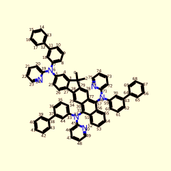 CC1(C)c2cc(N(c3cccc(-c4ccccc4)c3)c3ccccn3)ccc2-c2cc3c(N(c4cccc(-c5ccccc5)c4)c4ccccn4)c4ccccc4c(N(c4cccc(-c5ccccc5)c4)c4ccccn4)c3cc21